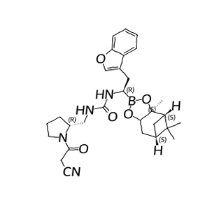 CC1(C)[C@@H]2CC3OB([C@H](Cc4coc5ccccc45)NC(=O)NC[C@H]4CCCN4C(=O)CC#N)O[C@@]3(C)[C@H]1C2